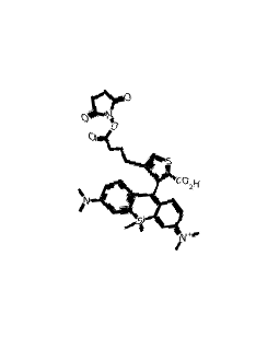 CN(C)c1ccc2c(c1)[Si](C)(C)C1=CC(=[N+](C)C)C=CC1=C2c1c(CCCC(=O)ON2C(=O)CCC2=O)csc1C(=O)O